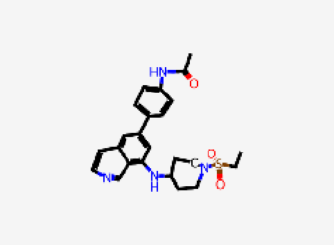 CCS(=O)(=O)N1CCC(Nc2cc(-c3ccc(NC(C)=O)cc3)cc3ccncc23)CC1